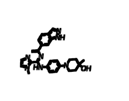 C=C(/N=C(/Nc1ccc(N2CCC(C)(O)CC2)cc1)c1nccn1C)c1ccc2cn[nH]c2c1